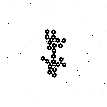 Cc1ccc(-c2ccccc2)cc1N1c2ccc(-c3ccccc3)cc2B2c3c(cc(-c4ccccc4)cc31)-c1ccc(N(c3ccccc3)c3ccccc3)cc1N2c1ccc(-c2ccc(-c3ccc(-c4cc5c6c(c4)N(c4ccc(-c7ccccc7)cc4)c4ccc(-c7ccccc7)cc4B6N(c4ccc(-c6ccccc6)cc4)c4ccc(N(c6ccccc6)c6ccccc6)cc4-5)cc3)cc2)cc1